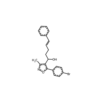 Cc1noc(-c2ccc(Br)cc2)c1C(O)CC/C=C/c1ccccc1